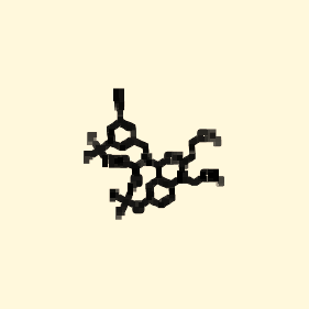 CCCCN(CC)c1ccc(OC(F)(F)F)cc1C(C)N(Cc1cc(C#N)cc(C(F)(F)F)c1)C(=O)O